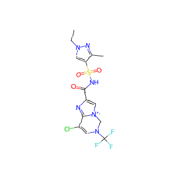 CCn1cc(S(=O)(=O)NC(=O)C2=C[N+]3CN(C(F)(F)F)C=C(Cl)C3=N2)c(C)n1